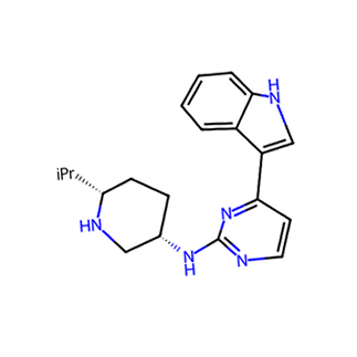 CC(C)[C@@H]1CC[C@H](Nc2nccc(-c3c[nH]c4ccccc34)n2)CN1